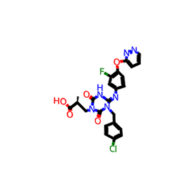 C[C@@H](Cn1c(=O)[nH]/c(=N\c2ccc(Oc3cccnn3)c(F)c2)n(Cc2ccc(Cl)cc2)c1=O)C(=O)O